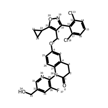 O=C1CCc2cc(OCc3c(-c4c(Cl)cccc4Cl)noc3C3CC3)ccc2N1c1ncc(CO)cc1F